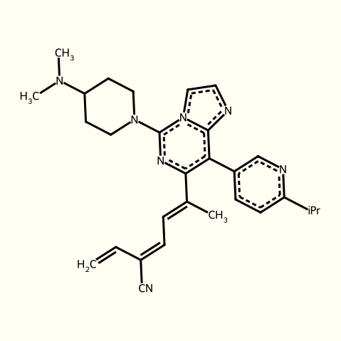 C=C/C(C#N)=C\C=C(/C)c1nc(N2CCC(N(C)C)CC2)n2ccnc2c1-c1ccc(C(C)C)nc1